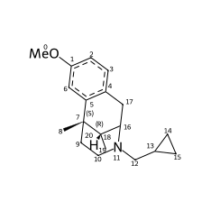 COc1ccc2c(c1)[C@@]1(C)CCN(CC3CC3)C(C2)[C@@H]1C